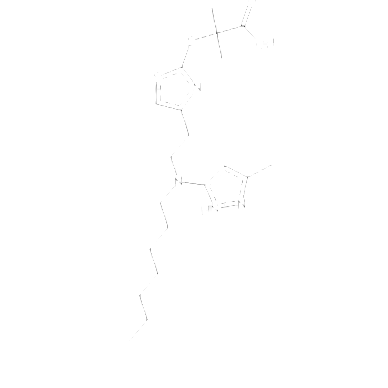 CCCCCCCN(CCc1csc(SC(C)(C)C(=O)O)n1)c1cc(C)n[nH]1